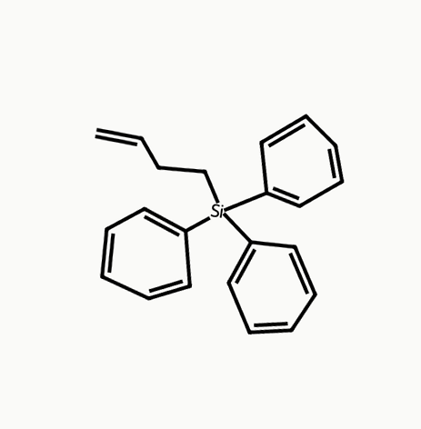 C=CCC[Si](c1ccccc1)(c1ccccc1)c1ccccc1